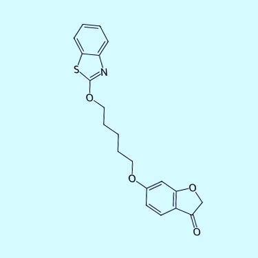 O=C1COc2cc(OCCCCCOc3nc4ccccc4s3)ccc21